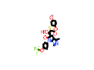 COc1cccc(Sc2c(O)c3c(=O)n(-c4ccc(OC(F)(F)F)cc4)c4c(c(C)nn4C)c3oc2=O)c1